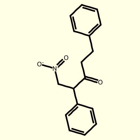 O=C(CCc1ccccc1)C(C[N+](=O)[O-])c1ccccc1